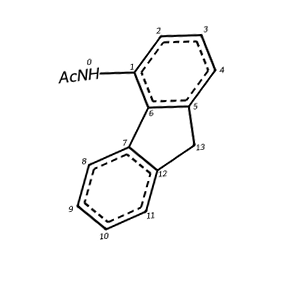 CC(=O)Nc1cccc2c1-c1ccccc1C2